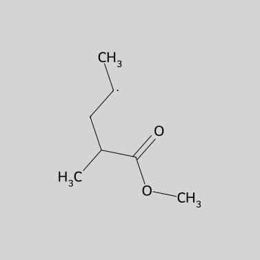 C[CH]CC(C)C(=O)OC